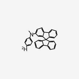 [2H]c1ccc(N(C)c2ccc3c(c2)C2(c4ccccc4-c4ccccc42)c2ccccc2-3)cc1